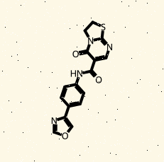 O=C(Nc1ccc(-c2cocn2)cc1)c1cnc2n(c1=O)CCS2